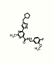 COc1cc(CNC(=O)c2cc(-c3cn(CC4CCCC4)nn3)nc(C)n2)ccc1F